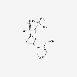 CC(C)(C)[Si](C)(C)NS(=N)(=O)c1ccc(-c2ccccc2CO)s1